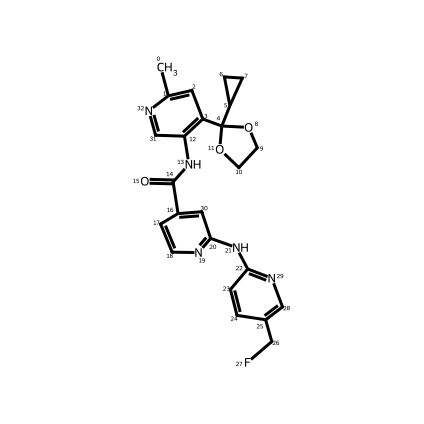 Cc1cc(C2(C3CC3)OCCO2)c(NC(=O)c2ccnc(Nc3ccc(CF)cn3)c2)cn1